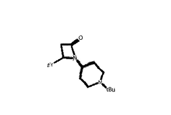 CCC1CC(=O)N1C1CCN(C(C)(C)C)CC1